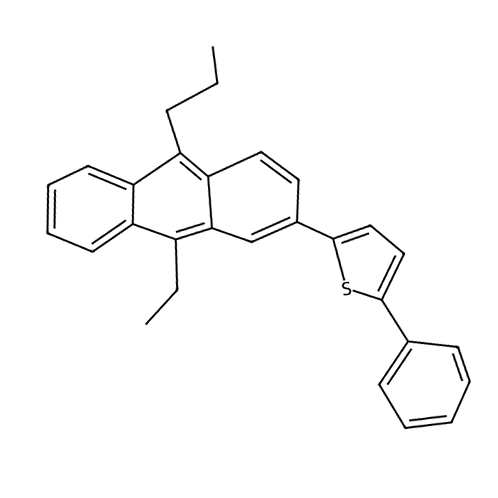 CCCc1c2ccccc2c(CC)c2cc(-c3ccc(-c4ccccc4)s3)ccc12